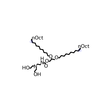 CCCCCCCC/C=C\CCCCCCCCOCC(COC(=O)NCCN(CCO)CCO)OCCCCCCCC/C=C\CCCCCCCC